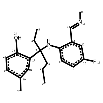 CCCC(CC)(Pc1ccc(F)cc1/C=N/C)c1cc(C)ccc1O